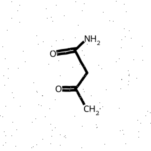 [CH2]C(=O)CC(N)=O